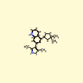 CC1=NCC(C)=C1c1cc(C2CCC(C)(C)C2)c2cccnc2c1